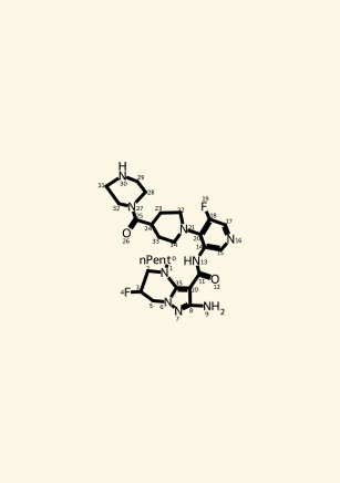 CCCCCN1CC(F)Cn2nc(N)c(C(=O)Nc3cncc(F)c3N3CCC(C(=O)N4CCNCC4)CC3)c21